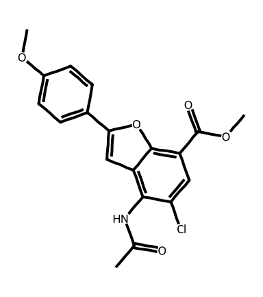 COC(=O)c1cc(Cl)c(NC(C)=O)c2cc(-c3ccc(OC)cc3)oc12